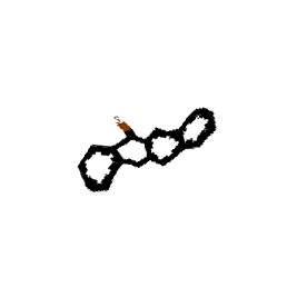 S=C1c2ccccc2Cc2cc3ccccc3cc21